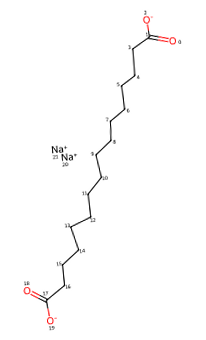 O=C([O-])CCCCCCCCCCCCCCC(=O)[O-].[Na+].[Na+]